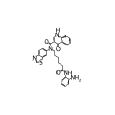 Nc1ccccc1NC(=O)CCCCCN(C(=O)c1c[nH]c2ccccc2c1=O)c1ccc2ncsc2c1